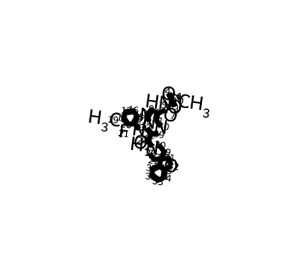 CCS(=O)(=O)NC(=O)c1cnn2c(Nc3cccc(C)c3F)c(C(=O)N3CCC4(CC3)COc3ccccc34)cnc12